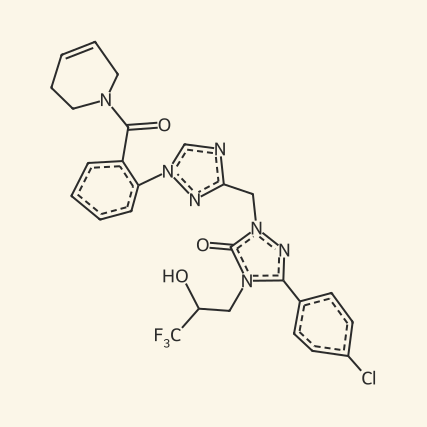 O=C(c1ccccc1-n1cnc(Cn2nc(-c3ccc(Cl)cc3)n(CC(O)C(F)(F)F)c2=O)n1)N1CC=CCC1